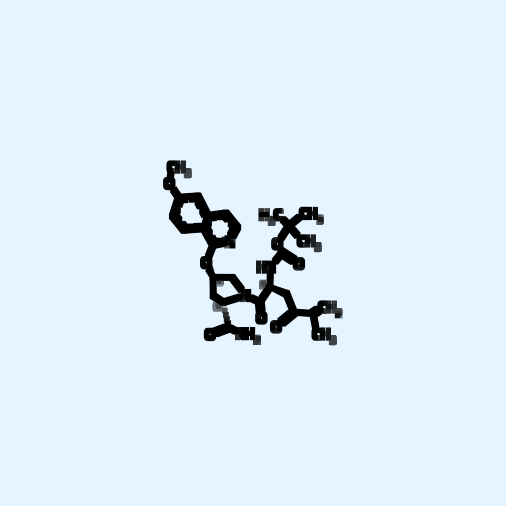 C=C(C)C(=O)C[C@H](NC(=O)OC(C)(C)C)C(=O)N1C[C@H](Oc2nccc3cc(OC)ccc23)C[C@H]1C(N)=O